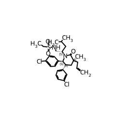 C=CC[C@@]1(C)C[C@H](c2cccc(Cl)c2)[C@@H](c2ccc(Cl)cc2)N([C@H](CNS(=O)(=O)CC)CC(C)C)C1=O